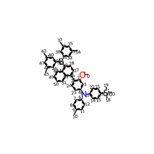 COc1cc(N(c2ccc(C)cc2)c2ccc([Si](C)(C)C)cc2)ccc1-c1ccc(B(c2cc(C)cc(C)c2)c2cc(C)cc(C)c2)c2ccccc12